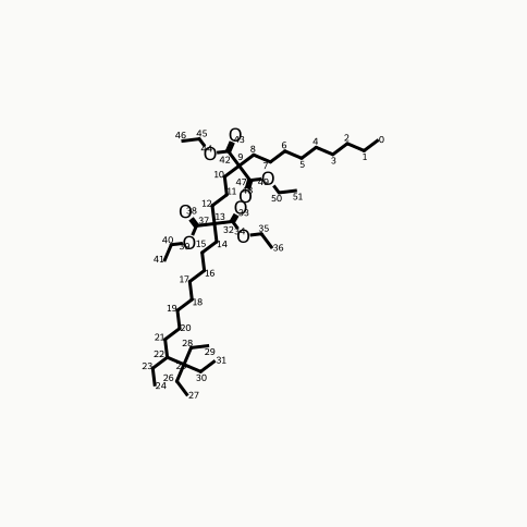 CCCCCCCCCC(CCCC(CCCCCCCCC(CC)C(CC)(CC)CC)(C(=O)OCC)C(=O)OCC)(C(=O)OCC)C(=O)OCC